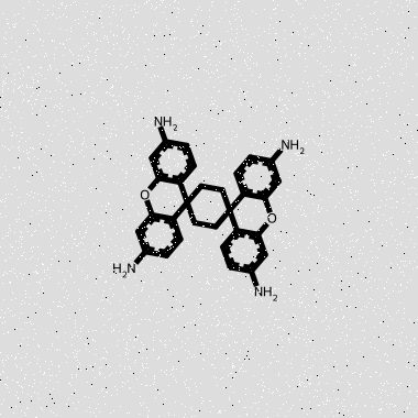 Nc1ccc2c(c1)Oc1cc(N)ccc1C21CCC2(CC1)c1ccc(N)cc1Oc1cc(N)ccc12